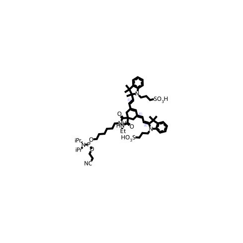 CCNC(=O)C1(C(=O)NCCCCCCOP(OCCC#N)N(C(C)C)C(C)C)CC(/C=C/C2(C)N(CCCS(=O)(=O)O)c3ccccc3C2(C)C)=CC(=C/C=C2/N(CCCS(=O)(=O)O)c3ccccc3C2(C)C)/C1